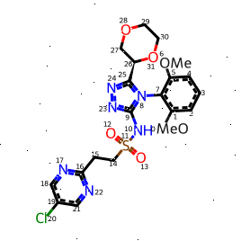 COc1cccc(OC)c1-n1c(NS(=O)(=O)CCc2ncc(Cl)cn2)nnc1[C@H]1COCCO1